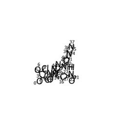 COc1cc(OC)c(Cl)c(NC(=O)N(Cc2ccc(NC(C)=O)cc2)c2cc(Nc3ccc(N4CCN(C)CC4)cc3)ncn2)c1Cl